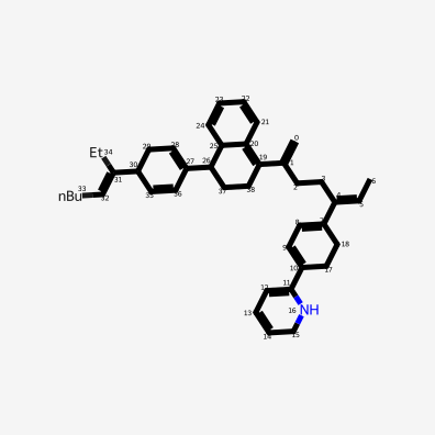 C=C(CC/C(=C\C)C1=CC=C(C2=CC=CCN2)CC1)C1=C2C=CC=CC2C(C2=CCC(/C(=C/CCCC)CC)C=C2)CC1